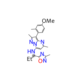 CC[C@@H](Nc1cc(C)nc2c(-c3ccc(OC)cc3C)c(C)nn12)c1nc(C)no1